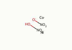 O=[N+]([O-])O.O=[N+]([O-])[O-].[Co].[Ni]